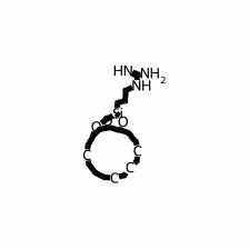 N=C(N)NCCC[Si]12OC3CCCCCCCCCCCCC(O1)C(C3)O2